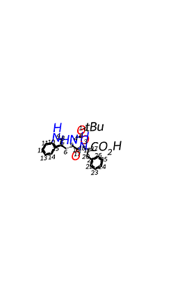 CC(C)(C)OC(=O)N[C@@H](Cc1c[nH]c2ccccc12)C(=O)N[C@@H](Cc1ccccc1)C(=O)O